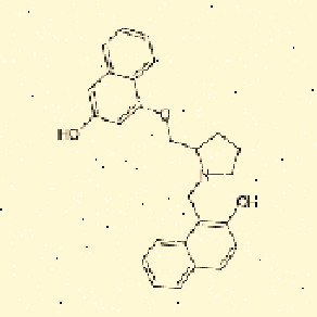 Oc1cc(OCC2CCCN2Cc2c(O)ccc3ccccc23)c2ccccc2c1